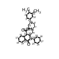 Cc1ccc(N2CCN(Cc3c(C(=O)O)c4ccccc4c(=O)n3-c3ccccc3)CC2)cc1C